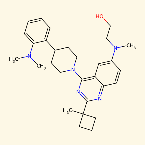 CN(C)c1ccccc1C1CCN(c2nc(C3(C)CCC3)nc3ccc(N(C)CCO)cc23)CC1